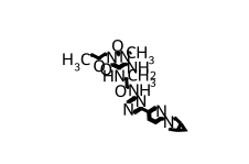 CCC(=O)Cn1c(=O)c(N[C@@H](C)C(=O)Nc2cncc(-c3ccc(N4CC5CC5C4)nc3)n2)c(N)n(C)c1=O